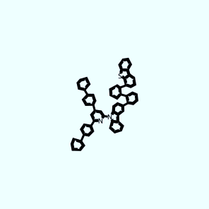 c1ccc(-c2ccc(-c3cc(-c4ccc(-c5ccccc5)cc4)nc(-n4c5ccccc5c5cc(-c6ccccc6-c6ccccc6-c6cccc7c6sc6ccccc67)ccc54)c3)cc2)cc1